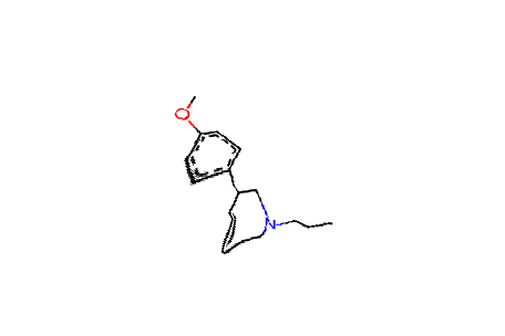 CCCN1CC=CC(c2ccc(OC)cc2)C1